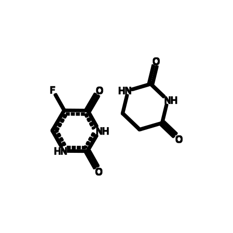 O=C1CCNC(=O)N1.O=c1[nH]cc(F)c(=O)[nH]1